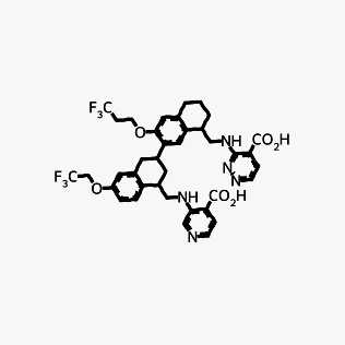 O=C(O)c1ccncc1NCC1CC(c2cc3c(cc2OCCC(F)(F)F)CCCC3CNc2nnccc2C(=O)O)Cc2cc(OCC(F)(F)F)ccc21